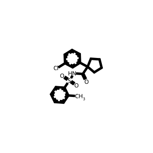 Cc1ccccc1S(=O)(=O)NC(=O)C1(c2cccc(Cl)c2)CCCC1